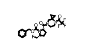 O=C([C@@H]1CC[C@@H](CF)N1C(=O)OCc1ccccc1)N1CCN(C(=O)C(F)(F)F)C2(CC2)C1